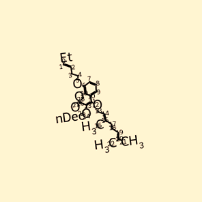 CCC=CCCOc1cccc2c(OC/C=C(\C)CCC=C(C)C)c(OCCCCCCCCCC)c(=O)oc12